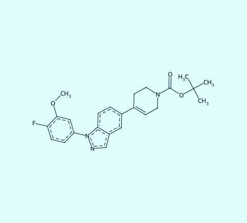 COc1cc(-n2ncc3cc(C4=CCN(C(=O)OC(C)(C)C)CC4)ccc32)ccc1F